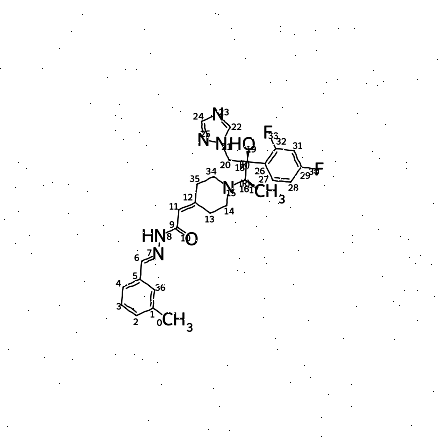 Cc1cccc(C=NNC(=O)C=C2CCN([C@H](C)[C@](O)(Cn3cncn3)c3ccc(F)cc3F)CC2)c1